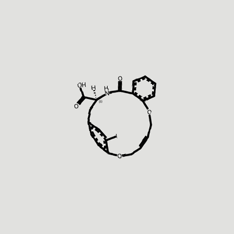 O=C1N[C@H](C(=O)O)Cc2ccc(c(I)c2)OCC=CCOc2ccccc21